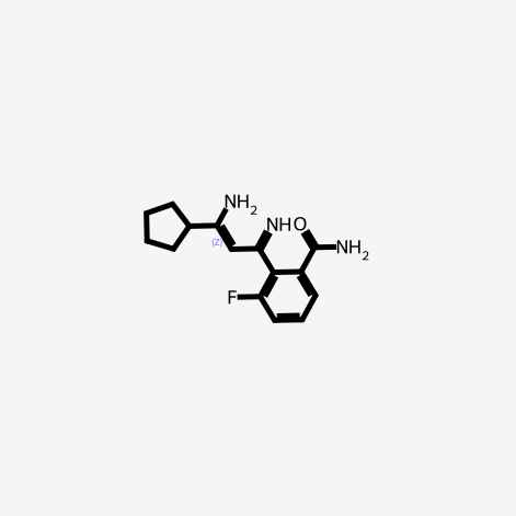 N=C(/C=C(\N)C1CCCC1)c1c(F)cccc1C(N)=O